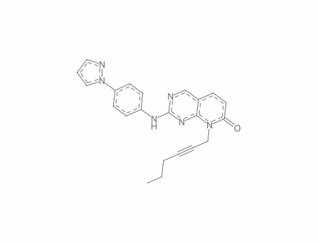 CCCC#CCn1c(=O)ccc2cnc(Nc3ccc(-n4cccn4)cc3)nc21